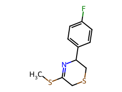 CSC1=NC(c2ccc(F)cc2)CSC1